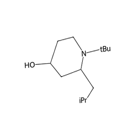 CC(C)CC1CC(O)CCN1C(C)(C)C